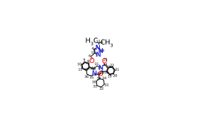 CC(C)n1cc(COc2cccc3c2[C@@H](CN2Cc4ccccc4C2=O)N(C(=O)C2CCCCC2)CC3)nn1